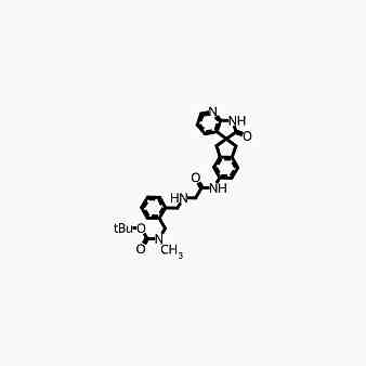 CN(Cc1ccccc1CNCC(=O)Nc1ccc2c(c1)CC1(C2)C(=O)Nc2ncccc21)C(=O)OC(C)(C)C